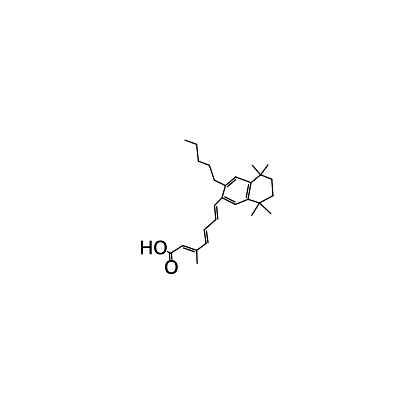 CCCCCc1cc2c(cc1C=CC=CC(C)=CC(=O)O)C(C)(C)CCC2(C)C